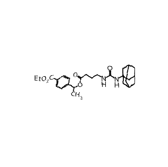 CCOC(=O)c1ccc(C(C)OC(=O)CCCNC(=O)NC23CC4CC(CC(C4)C2)C3)cc1